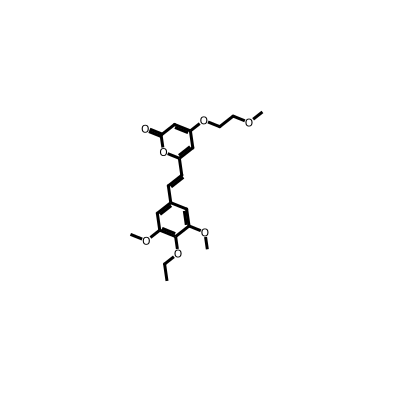 CCOc1c(OC)cc(C=Cc2cc(OCCOC)cc(=O)o2)cc1OC